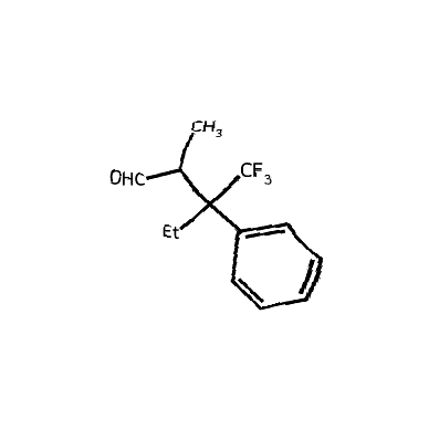 [CH2]CC(c1ccccc1)(C(C)C=O)C(F)(F)F